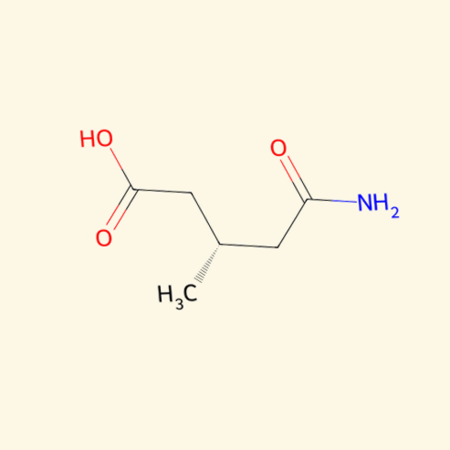 C[C@@H](CC(N)=O)CC(=O)O